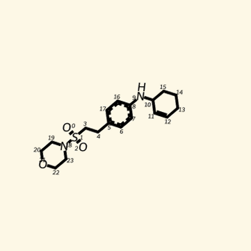 O=S(=O)(CCc1ccc(NC2C=CCCC2)cc1)N1CCOCC1